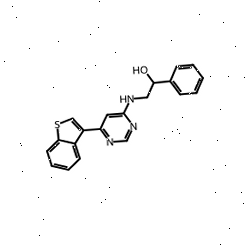 OC(CNc1cc(-c2csc3ccccc23)ncn1)c1ccccc1